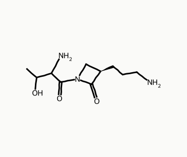 CC(O)C(N)C(=O)N1C[C@@H](CCCN)C1=O